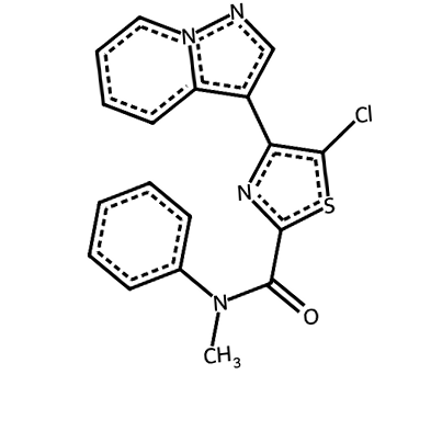 CN(C(=O)c1nc(-c2cnn3ccccc23)c(Cl)s1)c1ccccc1